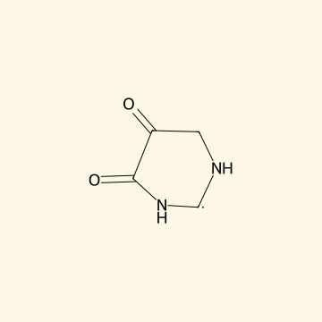 O=C1CN[CH]NC1=O